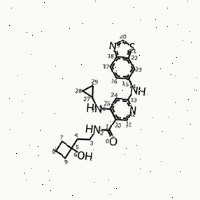 O=C(NCCC1(O)CCC1)c1cnc(Nc2ccc3ncsc3c2)cc1NC1CC1